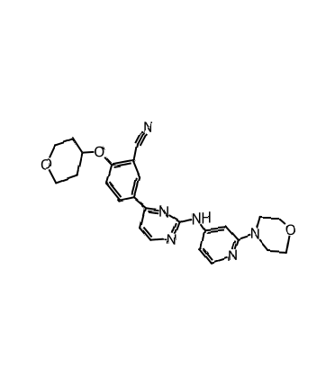 N#Cc1cc(-c2ccnc(Nc3ccnc(N4CCOCC4)c3)n2)ccc1OC1CCOCC1